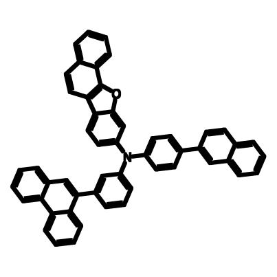 c1cc(-c2cc3ccccc3c3ccccc23)cc(N(c2ccc(-c3ccc4ccccc4c3)cc2)c2ccc3c(c2)oc2c4ccccc4ccc32)c1